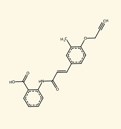 C#CCOc1ccc(/C=C/C(=O)Nc2ccccc2C(=O)O)cc1C